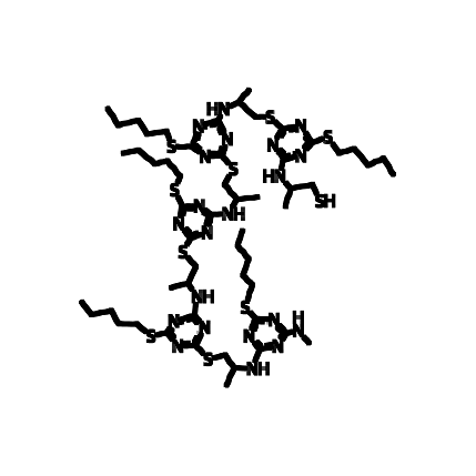 CCCCCSc1nc(NC)nc(NC(C)CSc2nc(NC(C)CSc3nc(NC(C)CSc4nc(NC(C)CSc5nc(NC(C)CS)nc(SCCCCC)n5)nc(SCCCCC)n4)nc(SCCCCC)n3)nc(SCCCCC)n2)n1